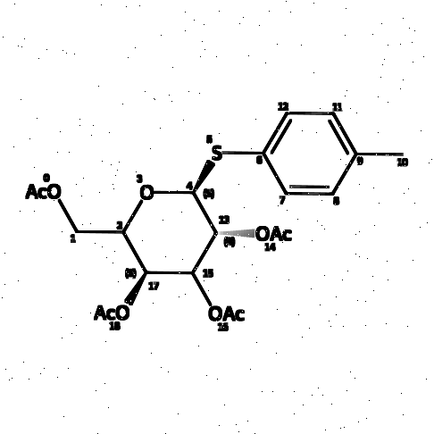 CC(=O)OCC1O[C@@H](Sc2ccc(C)cc2)[C@H](OC(C)=O)C(OC(C)=O)[C@H]1OC(C)=O